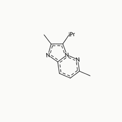 Cc1ccc2nc(C)c(C(C)C)n2n1